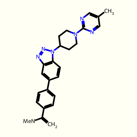 C=C(NC)c1ccc(-c2ccc3c(c2)nnn3C2CCN(c3ncc(C)cn3)CC2)cc1